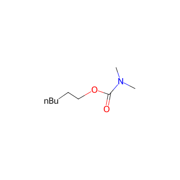 CCCCCCOC(=O)N(C)C